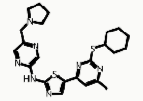 Cc1cc(-c2cnc(Nc3cnc(CN4CCCC4)cn3)s2)nc(SC2CCCCC2)n1